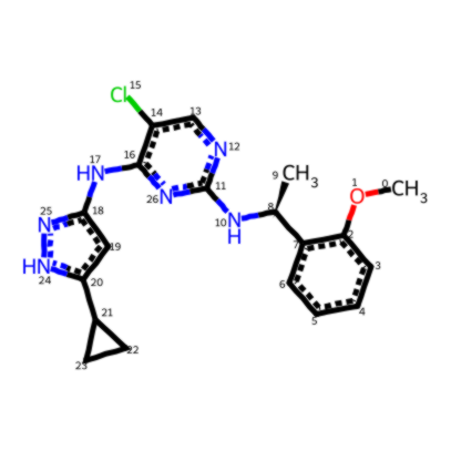 COc1ccccc1[C@H](C)Nc1ncc(Cl)c(Nc2cc(C3CC3)[nH]n2)n1